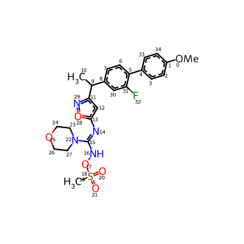 COc1ccc(-c2ccc(C(C)c3cc(N=C(NOS(C)(=O)=O)N4CCOCC4)on3)cc2F)cc1